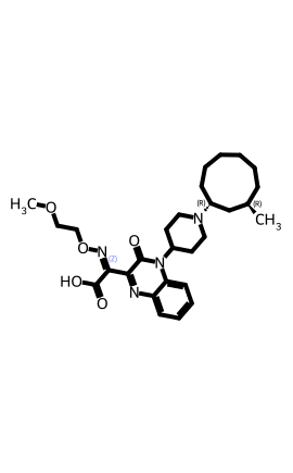 COCCO/N=C(\C(=O)O)c1nc2ccccc2n(C2CCN([C@@H]3CCCCCC[C@@H](C)C3)CC2)c1=O